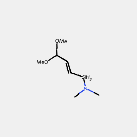 COC(C=C[SiH2]N(C)C)OC